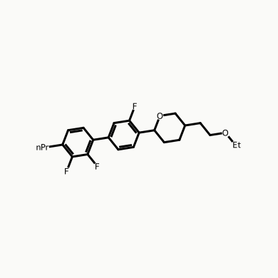 CCCc1ccc(-c2ccc(C3CCC(CCOCC)CO3)c(F)c2)c(F)c1F